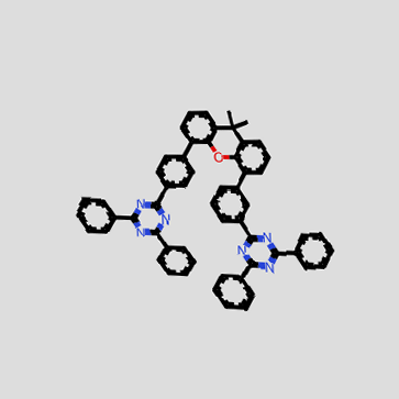 CC1(C)c2cccc(-c3ccc(-c4nc(-c5ccccc5)nc(-c5ccccc5)n4)cc3)c2Oc2c(-c3cccc(-c4nc(-c5ccccc5)nc(-c5ccccc5)n4)c3)cccc21